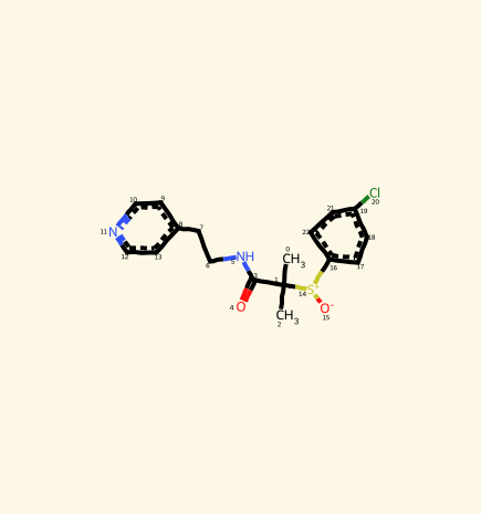 CC(C)(C(=O)NCCc1ccncc1)[S+]([O-])c1ccc(Cl)cc1